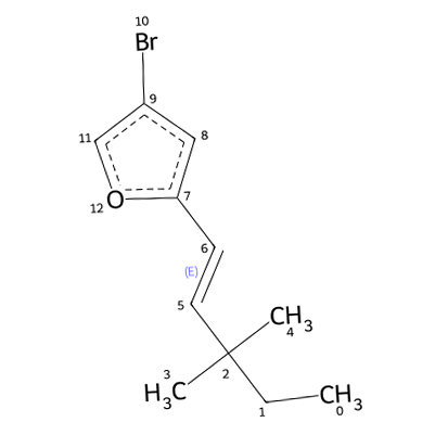 CCC(C)(C)/C=C/c1cc(Br)co1